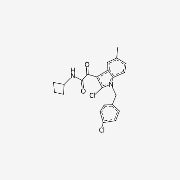 Cc1ccc2c(c1)c(C(=O)C(=O)NC1CCC1)c(Cl)n2Cc1ccc(Cl)cc1